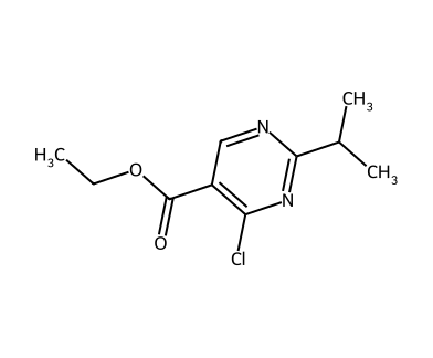 CCOC(=O)c1cnc(C(C)C)nc1Cl